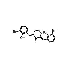 O=C1/C(=C/c2cccc(Br)c2O)CCC/C1=C\c1cccc(Br)c1O